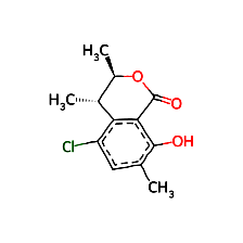 Cc1cc(Cl)c2c(c1O)C(=O)O[C@H](C)[C@H]2C